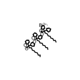 CCCCCCCCCC(C(=O)[O-])(c1ccccc1)c1ccccc1.CCCCCCCCCC(C(=O)[O-])(c1ccccc1)c1ccccc1.CCCCCCCCCC(C(=O)[O-])(c1ccccc1)c1ccccc1.[Bi+3]